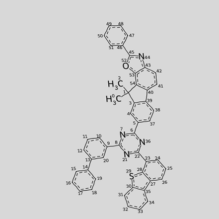 CC1(C)c2cc(-c3nc(-c4cccc(-c5ccccc5)c4)nc(-c4cccc5c4sc4ccccc45)n3)ccc2-c2ccc3nc(-c4ccccc4)oc3c21